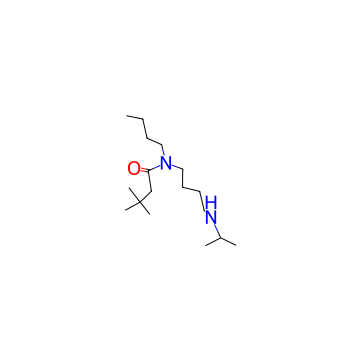 CCCCN(CCCCNC(C)C)C(=O)CC(C)(C)C